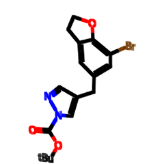 CC(C)(C)OC(=O)n1cc(Cc2cc(Br)c3c(c2)CCO3)cn1